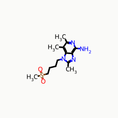 Cc1nc(N)c2nc(C)n(CCCCS(C)(=O)=O)c2c1C